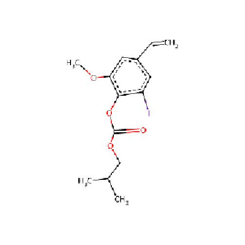 C=Cc1cc(I)c(OC(=O)OCC(C)C)c(OC)c1